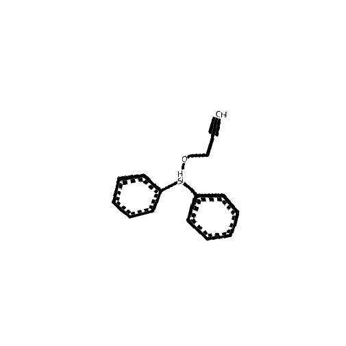 C#CCO[SiH](c1ccccc1)c1ccccc1